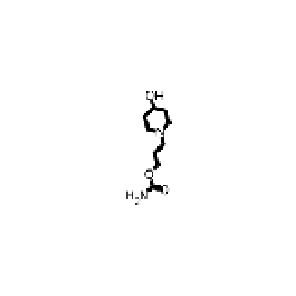 NC(=O)OCCCN1CCC(O)CC1